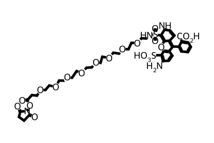 N=c1ccc2c(-c3ccccc3C(=O)O)c3ccc(N)c(S(=O)(=O)O)c3oc-2c1S(=O)(=O)NCCOCCOCCOCCOCCOCCOCCOCCOCCC(=O)ON1C(=O)CCC1=O